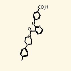 Cc1ccc(N2CCN(C(=O)c3cccnc3Oc3ccc(C(=O)O)cc3)CC2)cc1